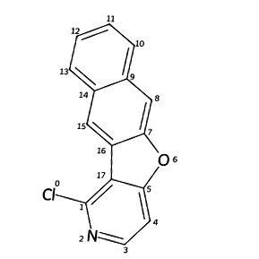 Clc1nccc2oc3cc4ccccc4cc3c12